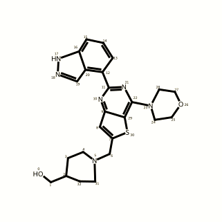 OCC1CCN(Cc2cc3nc(-c4cccc5[nH]ncc45)nc(N4CCOCC4)c3s2)CC1